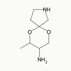 CC1OC2(CCNC2)OCC1N